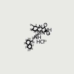 Cc1cc2nc3c(=O)[nH]c(=O)nc-3n(CCNCCc3cccc4ccccc34)c2cc1C.Cl